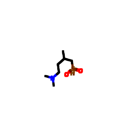 CC(CCN(C)C)C[SH](=O)=O